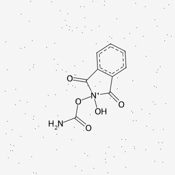 NC(=O)O[N+]1(O)C(=O)c2ccccc2C1=O